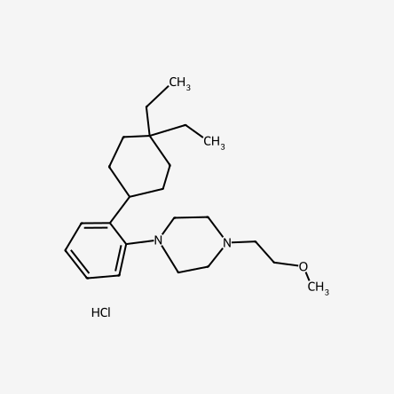 CCC1(CC)CCC(c2ccccc2N2CCN(CCOC)CC2)CC1.Cl